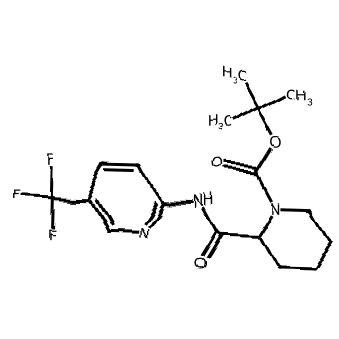 CC(C)(C)OC(=O)N1CCCCC1C(=O)Nc1ccc(C(F)(F)F)cn1